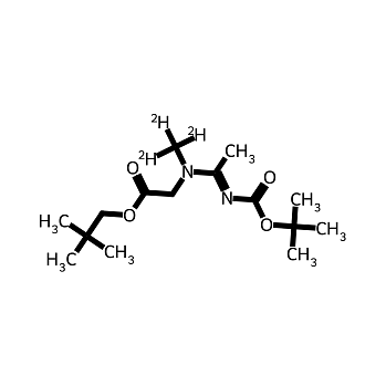 [2H]C([2H])([2H])N(CC(=O)OCC(C)(C)C)/C(C)=N/C(=O)OC(C)(C)C